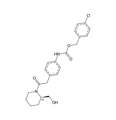 O=C(Nc1ccc(CC(=O)N2CCCC[C@@H]2CO)cc1)OCc1ccc(Cl)cc1